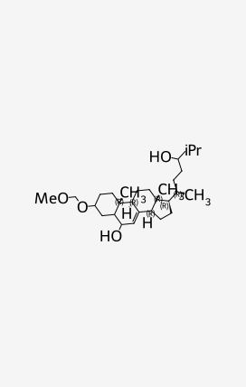 COCOC1CC[C@@]2(C)C(C1)C(O)C=C1[C@@H]3CC[C@H]([C@H](C)CCC(O)C(C)C)[C@@]3(C)CC[C@@H]12